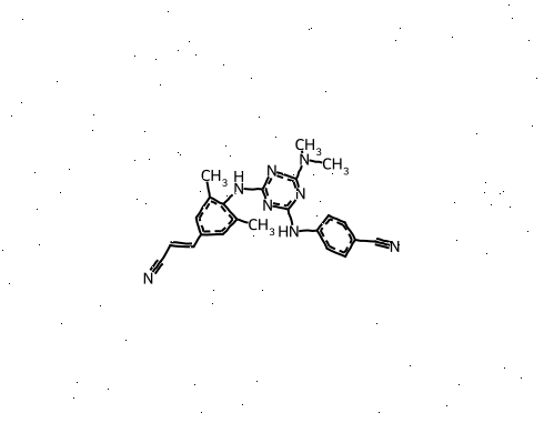 Cc1cc(C=CC#N)cc(C)c1Nc1nc(Nc2ccc(C#N)cc2)nc(N(C)C)n1